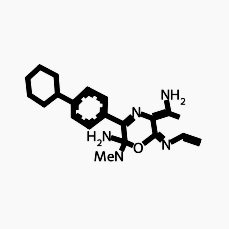 C=C/N=C1/OC(N)(NC)C(c2ccc(C3CCCCC3)cc2)=N/C1=C(/C)N